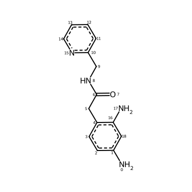 Nc1ccc(CC(=O)NCc2ccccn2)c(N)c1